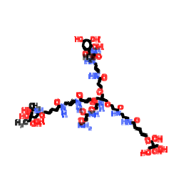 CC(=O)NC(OCCCCC(=O)NCCCNC(=O)CCOCC(COCCC(=O)NCCCNO[C@@H]1OC2CC(O)C[C@H](O)C(O)C21NC(C)=O)(COCCC(=O)NCCCNC(=O)CCCCOC(O)C(O)(CO)CO)NC(=O)CONC(=O)CON)C(O)C(O)(CO)C(C)O